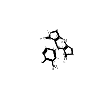 Cc1ccc([C@H]2C3=C(CCC3=O)NC3=C2C(=O)OC3)cc1[N+](=O)[O-]